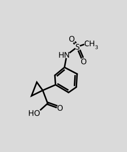 CS(=O)(=O)Nc1cccc(C2(C(=O)O)CC2)c1